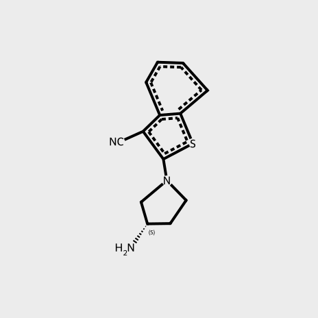 N#Cc1c(N2CC[C@H](N)C2)sc2ccccc12